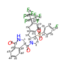 O=C1NCC(C(=O)N2CCC3(S(=O)(=O)c4ccc(F)cc4)c4ccc(C(F)(C(F)(F)F)C(F)(F)F)cc4CC23)c2ccccc21